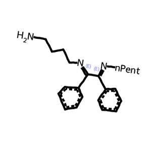 CCCCC/N=C(/C(=N/CCCCN)c1ccccc1)c1ccccc1